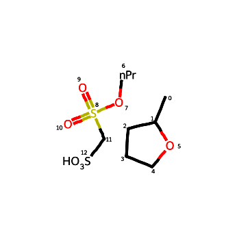 CC1CCCO1.CCCOS(=O)(=O)CS(=O)(=O)O